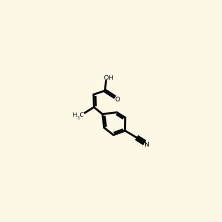 C/C(=C/C(=O)O)c1ccc(C#N)cc1